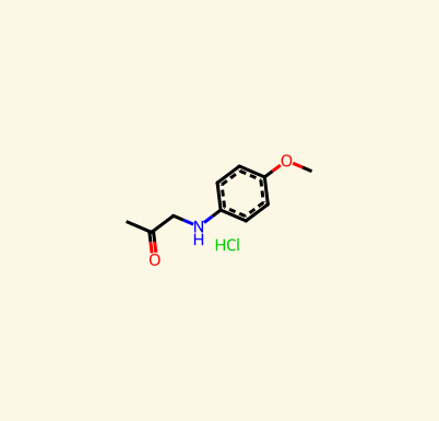 COc1ccc(NCC(C)=O)cc1.Cl